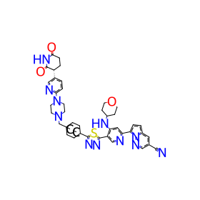 N#Cc1cnn2c(-c3cc(NC4CCOCC4)c(-c4nnc(C56CCC(CN7CCN(c8ccc([C@H]9CCC(=O)NC9=O)cn8)CC7)(CC5)CC6)s4)cn3)ccc2c1